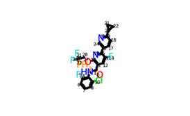 O=C(Nc1c(F)cccc1Cl)c1cc(F)c(-c2ccc(C3CC3)nc2)nc1OCC(F)(F)P